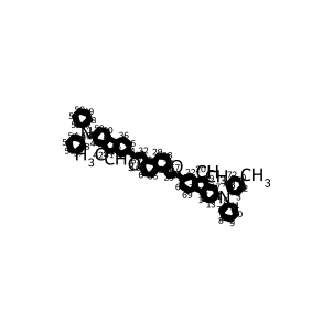 CC1C=CC(N(c2ccccc2)c2ccc3c(c2)C(C)(C)c2cc(-c4cc5c(ccc6c7cc(-c8ccc9c(c8)C(C)(C)c8cc(N(c%10ccccc%10)c%10ccccc%10)ccc8-9)oc7ccc56)o4)ccc2-3)=CC1